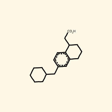 O=C(O)CC1CCCc2cc(CC3CCCCC3)ccc21